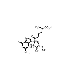 CC(CCCC(=O)[C@@]1(n2cnc3c(=O)[nH]c(N)nc32)O[C@H](CO)[C@@H](O)[C@H]1O)C(=O)O